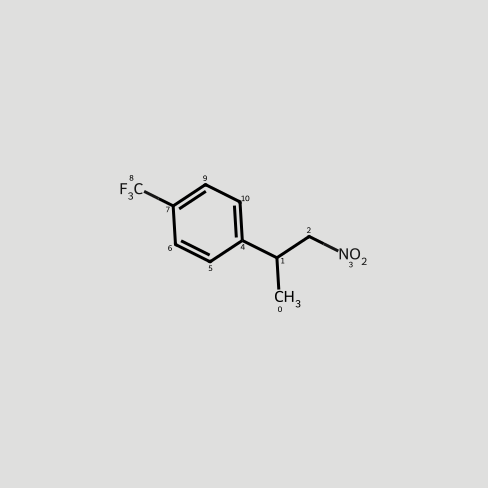 CC(C[N+](=O)[O-])c1ccc(C(F)(F)F)cc1